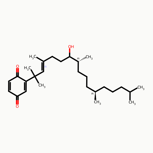 C/C(=C\C(C)(C)C1=CC(=O)C=CC1=O)CCC(O)[C@H](C)CCC[C@H](C)CCCC(C)C